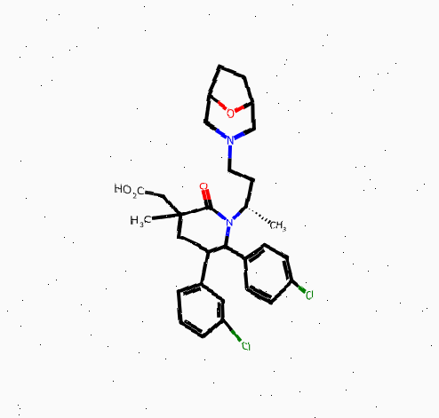 C[C@@H](CCN1CC2CCC(C1)O2)N1C(=O)C(C)(CC(=O)O)CC(c2cccc(Cl)c2)C1c1ccc(Cl)cc1